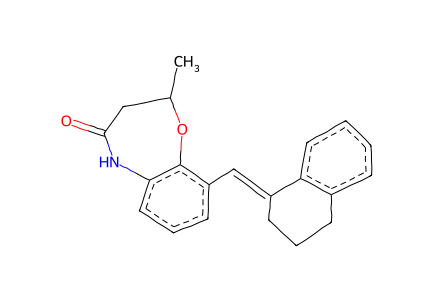 CC1CC(=O)Nc2cccc(C=C3CCCc4ccccc43)c2O1